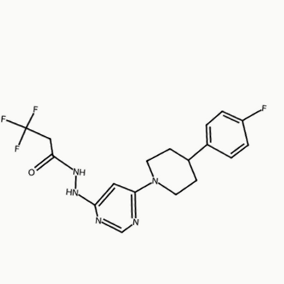 O=C(CC(F)(F)F)NNc1cc(N2CCC(c3ccc(F)cc3)CC2)ncn1